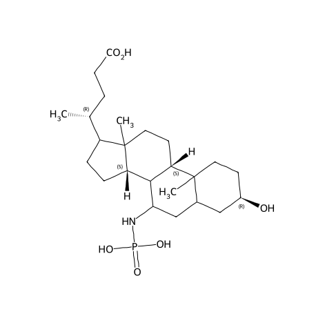 C[C@H](CCC(=O)O)C1CC[C@H]2C3C(NP(=O)(O)O)CC4C[C@H](O)CCC4(C)[C@H]3CCC12C